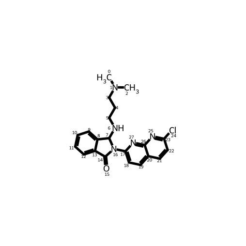 CN(C)CCCNC1c2ccccc2C(=O)N1c1ccc2ccc(Cl)nc2n1